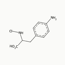 Nc1ccc(CC(NCl)C(=O)O)cc1